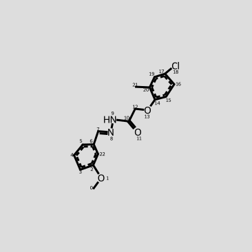 COc1cccc(/C=N/NC(=O)COc2ccc(Cl)cc2C)c1